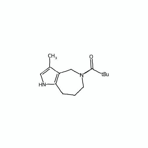 Cc1c[nH]c2c1CN(C(=O)C(C)(C)C)CCC2